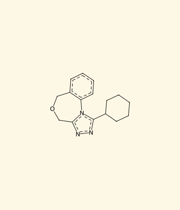 c1ccc2c(c1)COCc1nnc(C3CCCCC3)n1-2